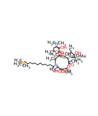 CC[C@H]1OC(=O)[C@H](C)[C@@H](C2C[C@@](C)(OC)[C@@H](O)[C@H](C)O2)[C@H](C)[C@@H](O[C@@H]2O[C@H](C)C[C@H](N(C)C)[C@H]2O)[C@](C)(O)C[C@@H](C)CN(C(=O)CCCCCCCCCCC[PH](C)(C)C)[C@H](C)[C@@H](O)[C@]1(C)O